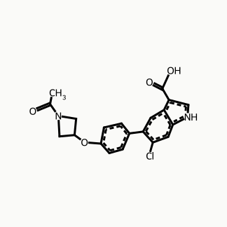 CC(=O)N1CC(Oc2ccc(-c3cc4c(C(=O)O)c[nH]c4cc3Cl)cc2)C1